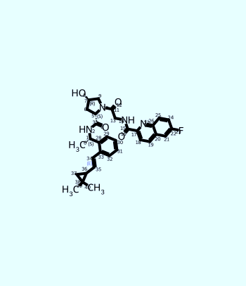 C[C@H](NC(=O)[C@@H]1C[C@@H](O)CN1C(=O)CNC(=O)c1ccc2cc(F)ccc2n1)c1ccccc1/C=C/C1CC1(C)C